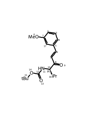 COc1cccc(C=CC(=O)[C@H](NC(=O)OC(C)(C)C)C(C)C)c1